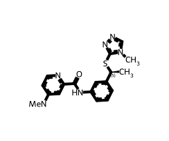 CNc1ccnc(C(=O)Nc2cccc([C@H](C)Sc3nncn3C)c2)c1